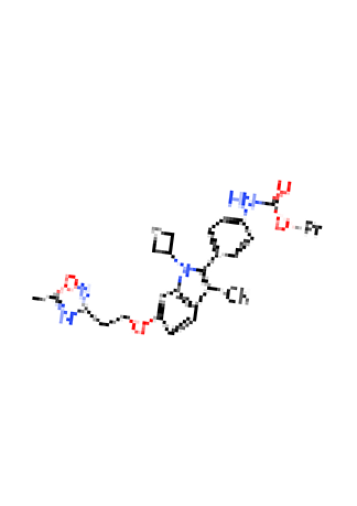 Cc1nc(CCOc2ccc3c(C#N)c(-c4ccc(NC(=O)OC(C)C)cc4)n(C4CCC4)c3c2)no1